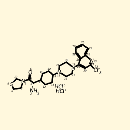 Cl.Cl.N[C@H](C(=O)N1CCSC1)C1CCC(N2CCN(c3cc(C(F)(F)F)nc4ccccc34)CC2)CC1